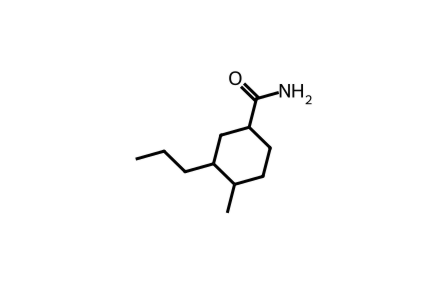 CCCC1CC(C(N)=O)CCC1C